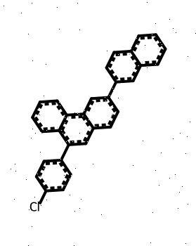 Clc1ccc(-c2cc3ccc(-c4ccc5ccccc5c4)cc3c3ccccc23)cc1